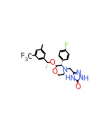 Cc1cc([C@@H](C)O[C@H]2OCCN(Cc3n[nH]c(=O)[nH]3)[C@H]2c2ccc(F)cc2)cc(C(F)(F)F)c1